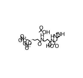 CC(=O)O.O=C(CCC[C@@H](CO[N+](=O)[O-])O[N+](=O)[O-])NCCC(=O)N[C@@H](Cc1c[nH]cn1)C(=O)O